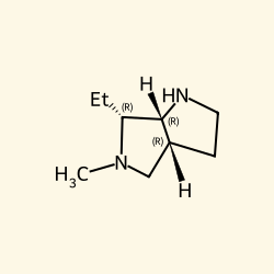 CC[C@@H]1[C@@H]2NCC[C@@H]2CN1C